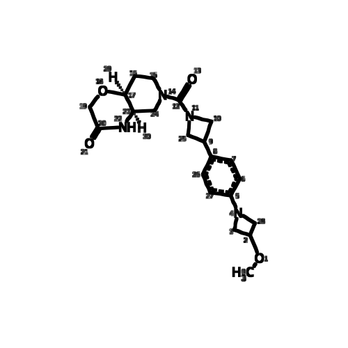 COC1CN(c2ccc(C3CN(C(=O)N4CC[C@@H]5OCC(=O)N[C@@H]5C4)C3)cc2)C1